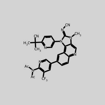 CC(=O)N(C(C)=O)c1ncc(-c2ccc3ncc4c(c3c2)n(-c2ccc(C(C)(C)C#N)nc2)c(=NC#N)n4C)cc1C(F)(F)F